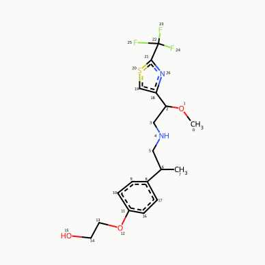 COC(CNCC(C)c1ccc(OCCO)cc1)c1csc(C(F)(F)F)n1